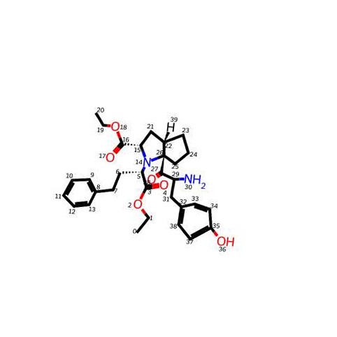 CCOC(=O)[C@H](CCc1ccccc1)N1[C@H](C(=O)OCC)C[C@@H]2CCC[C@@]21C(=O)C(N)Cc1ccc(O)cc1